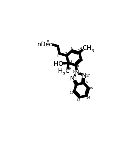 CCCCCCCCCCCCC1C=C(C)C=C(n2nc3ccccc3n2)C1(C)O